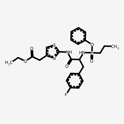 CCCP(=O)(NC(Cc1ccc(F)cc1)C(=O)Nc1nc(CC(=O)OCC)cs1)Oc1ccccc1